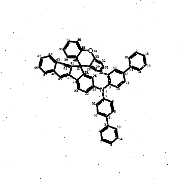 c1ccc(-c2ccc(N(c3ccc(-c4ccccc4)cc3)c3ccc4c(c3)C3(c5ccccc5Oc5ccccc53)c3cc5ccccc5cc3-4)cc2)cc1